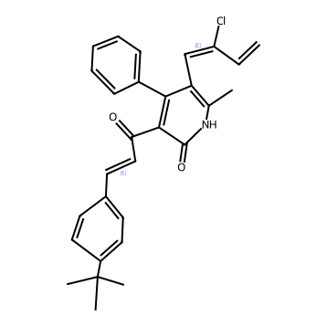 C=C/C(Cl)=C\c1c(C)[nH]c(=O)c(C(=O)/C=C/c2ccc(C(C)(C)C)cc2)c1-c1ccccc1